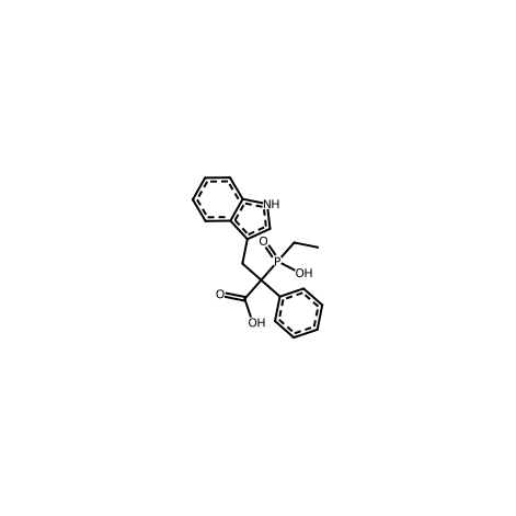 CCP(=O)(O)C(Cc1c[nH]c2ccccc12)(C(=O)O)c1ccccc1